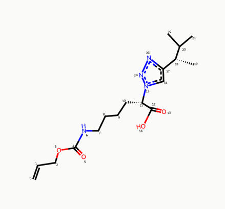 C=CCOC(=O)NCCCC[C@@H](C(=O)O)n1cc([C@@H](C)C(C)C)nn1